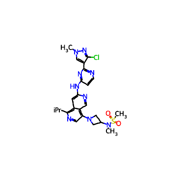 CC(C)c1ncc(N2CC(N(C)S(C)(=O)=O)C2)c2cnc(Nc3ccnc(-c4cn(C)nc4Cl)n3)cc12